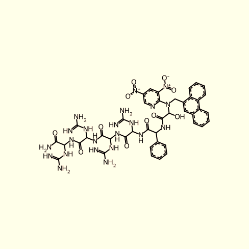 N=C(N)NC(NC(=O)C(NC(=N)N)NC(=O)C(NC(=N)N)NC(=O)C(NC(=N)N)NC(=O)C(NC(=O)C(O)N(Cc1cc2ccccc2c2ccccc12)c1ncc([N+](=O)[O-])cc1[N+](=O)[O-])c1ccccc1)C(N)=O